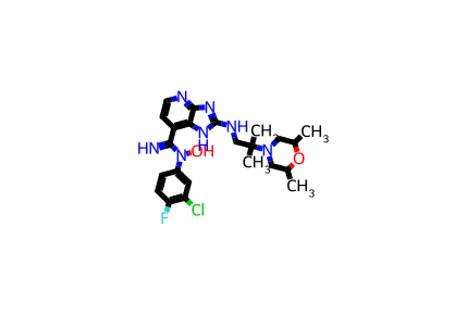 CC1CN(C(C)(C)CNc2nc3nccc(C(=N)N(O)c4ccc(F)c(Cl)c4)c3[nH]2)CC(C)O1